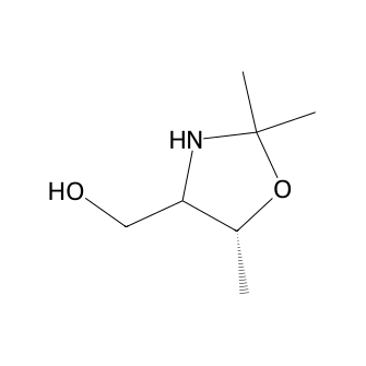 C[C@H]1OC(C)(C)NC1CO